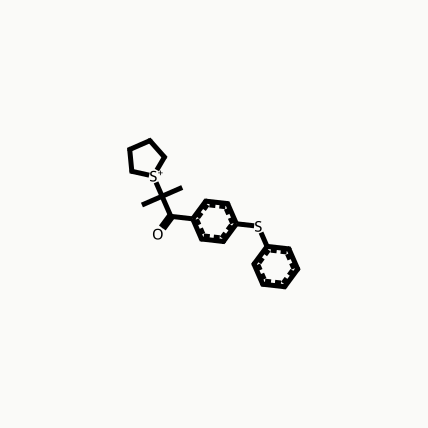 CC(C)(C(=O)c1ccc(Sc2ccccc2)cc1)[S+]1CCCC1